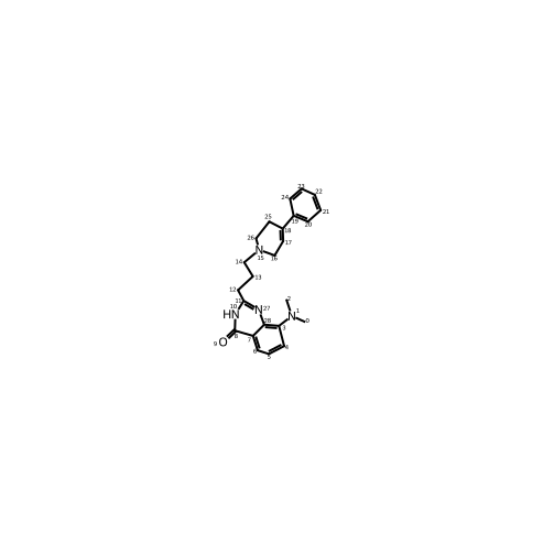 CN(C)c1cccc2c(=O)[nH]c(CCCN3CC=C(c4ccccc4)CC3)nc12